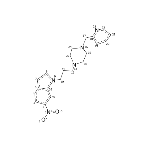 O=[N+]([O-])c1ccc2ccn(CCCN3CCN(Cc4ccccn4)CC3)c2c1